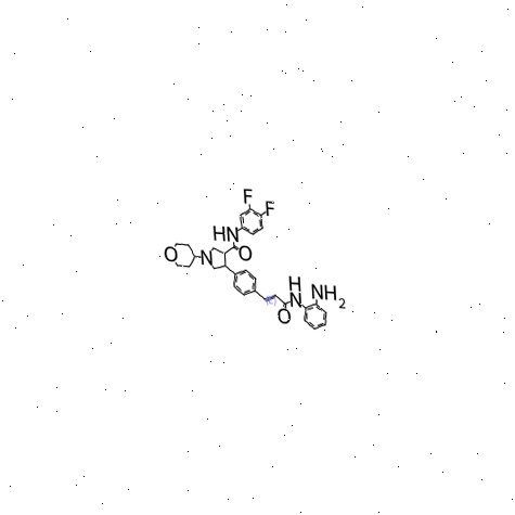 Nc1ccccc1NC(=O)/C=C/c1ccc(C2CN(C3CCOCC3)CC2C(=O)Nc2ccc(F)c(F)c2)cc1